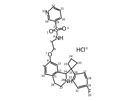 Cl.O=S(=O)(NCCOc1ccc2c(c1)C(C1(c3ccc(F)cc3)CCC1)NCC2)c1cccnc1